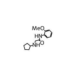 COc1ccccc1NC(=O)CNC1CCCC1